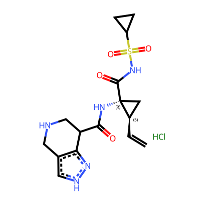 C=C[C@@H]1C[C@]1(NC(=O)C1CNCc2c[nH]nc21)C(=O)NS(=O)(=O)C1CC1.Cl